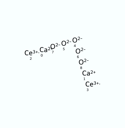 [Ca+2].[Ca+2].[Ce+3].[Ce+3].[O-2].[O-2].[O-2].[O-2].[O-2]